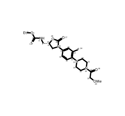 CCOC(=S)NC[C@H]1CN(c2ccc(N3CCN(C(=O)COC)CC3)c(F)c2)C(=O)O1